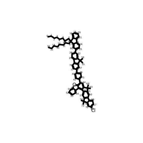 CCCCCCCCC1(CCCCCCCC)c2ccccc2-c2ccc(-c3ccc4c(c3)C(C)(C)c3cc(-c5ccc(-c6cc7c(c8c6oc6ccccc68)-c6cc8c(cc6C7(C)C)-c6ccc(Cl)cc6C8(C)C)cc5)ccc3-4)cc21